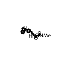 CNC(=O)COC(=O)NCCCC1CCN(c2nccc3ccccc23)CC1